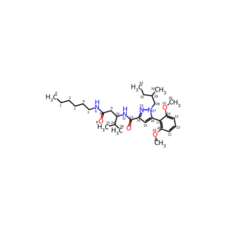 CCCCCCNC(=O)CC(NC(=O)c1cc(-c2c(OC)cccc2OC)n(CC(C)CC)n1)C(C)C